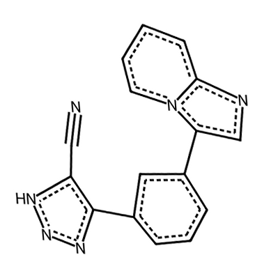 N#Cc1[nH]nnc1-c1cccc(-c2cnc3ccccn23)c1